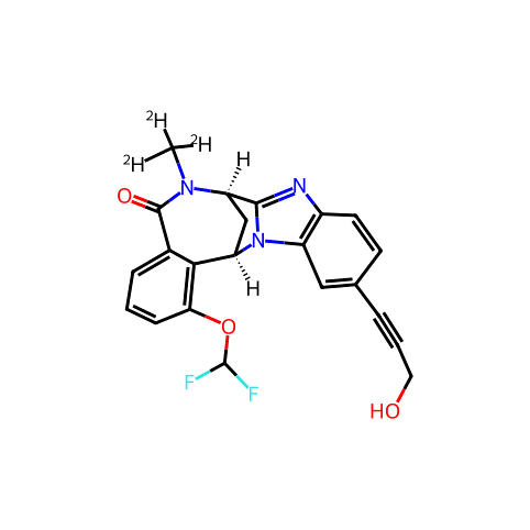 [2H]C([2H])([2H])N1C(=O)c2cccc(OC(F)F)c2[C@H]2C[C@@H]1c1nc3ccc(C#CCO)cc3n12